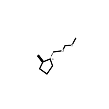 C=C1CCC[C@H]1COCOC